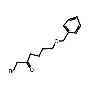 O=C(CBr)CCCCOCc1ccccc1